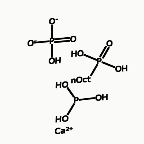 CCCCCCCCP(=O)(O)O.O=P([O-])([O-])O.OP(O)O.[Ca+2]